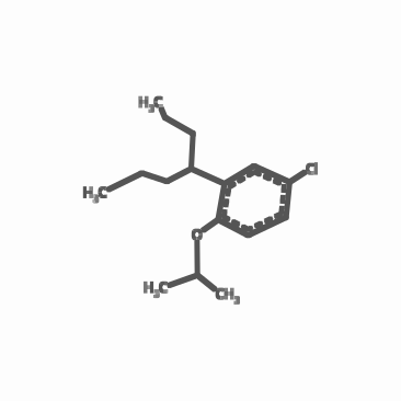 CCCC(CCC)c1cc(Cl)ccc1OC(C)C